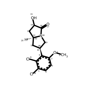 COc1ccc(Cl)c(Cl)c1[C@H]1C[C@H]2CC(O)C(=O)N2C1